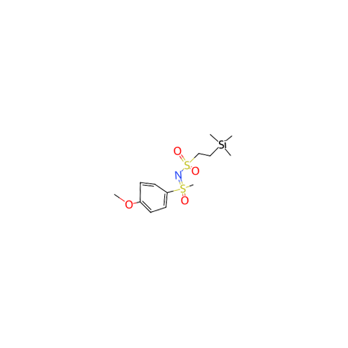 COc1ccc(S(C)(=O)=NS(=O)(=O)CC[Si](C)(C)C)cc1